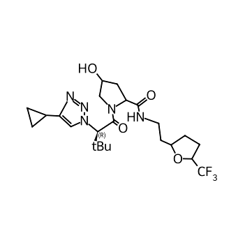 CC(C)(C)[C@H](C(=O)N1CC(O)CC1C(=O)NCCC1CCC(C(F)(F)F)O1)n1cc(C2CC2)nn1